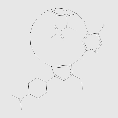 COc1cc(N2CCC(N(C)C)CC2)c2cc1Nc1ncc(Br)c(n1)Nc1ccc(cc1N(C)S(C)(=O)=O)OCCCCO2